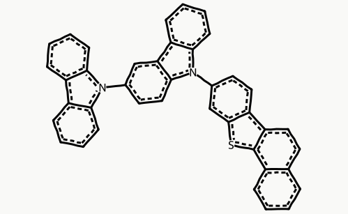 c1ccc2c(c1)ccc1c3ccc(-n4c5ccccc5c5cc(-n6c7ccccc7c7ccccc76)ccc54)cc3sc21